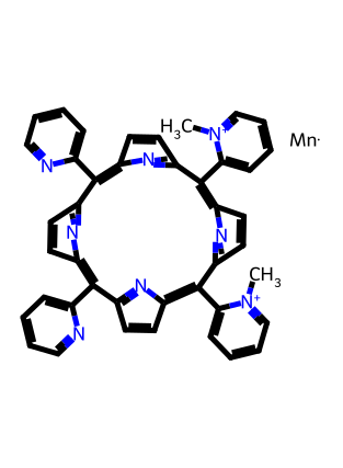 C[n+]1ccccc1C1=C2C=CC(=N2)C(c2ccccn2)=C2C=CC(=N2)C(c2ccccn2)=C2C=CC(=N2)C(c2cccc[n+]2C)=C2C=CC1=N2.[Mn]